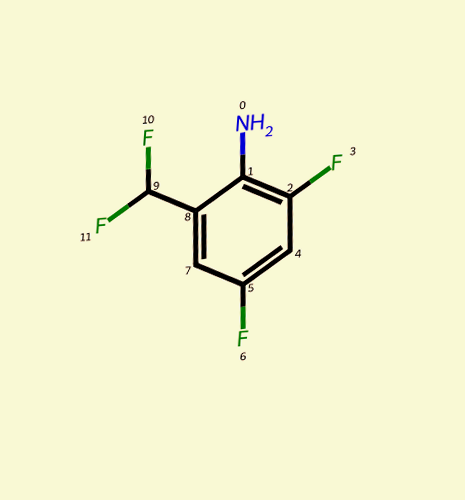 Nc1c(F)cc(F)cc1C(F)F